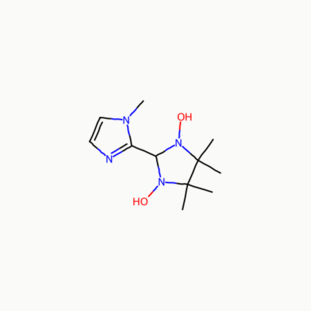 Cn1ccnc1C1N(O)C(C)(C)C(C)(C)N1O